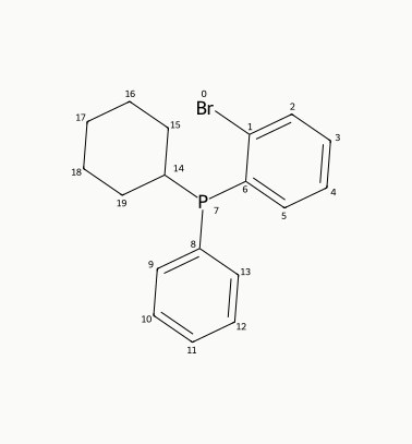 Brc1ccccc1P(c1ccccc1)C1CCCCC1